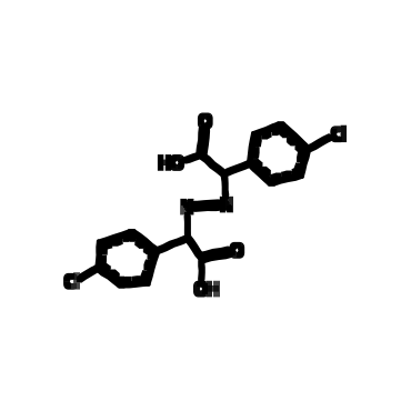 O=C(O)C(N=NC(C(=O)O)c1ccc(Cl)cc1)c1ccc(Cl)cc1